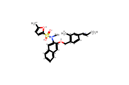 Cc1ccc(S(=O)(=O)N(c2cc3ccccc3cc2OCc2ccc(/C=C/C(=O)O)cc2C)C(C)C)o1